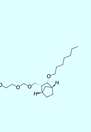 CCCCCCCO[C@@H]1[C@@H]2CC[C@@H](C2)[C@@H]1COCOCCOC